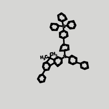 CC1(C)c2ccc(-c3ccccc3)cc2-c2ccc(N(c3ccc(-c4ccccc4)cc3)c3ccc(-c4ccc([Si](c5ccccc5)(c5ccccc5)c5ccccc5)cc4)cc3)cc21